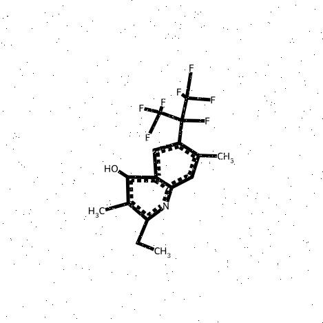 CCc1nc2cc(C)c(C(F)(C(F)(F)F)C(F)(F)F)cc2c(O)c1C